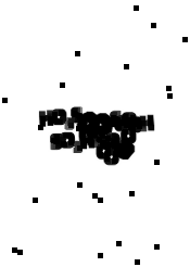 O=C(Nc1cc(SOOO)cc2cc(S(=O)(=O)O)cc(S(=O)(=O)O)c12)ON1C(=O)CCC1=O